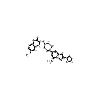 Cc1ccc2nc(Cl)c(CN3CCN(c4nc(N)n5nc(-c6ccco6)cc5n4)CC3)cc2c1